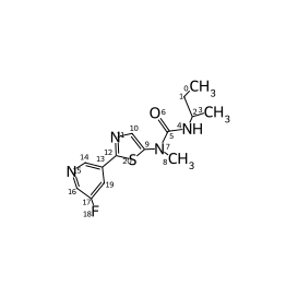 CCC(C)NC(=O)N(C)c1cnc(-c2cncc(F)c2)s1